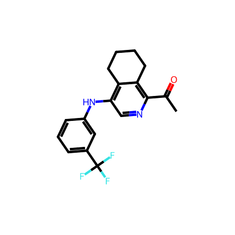 CC(=O)c1ncc(Nc2cccc(C(F)(F)F)c2)c2c1CCCC2